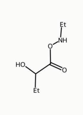 CCNOC(=O)C(O)CC